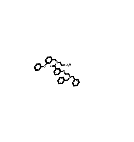 O=C(O)CCN(Cc1cccc(Oc2ccccc2)c1)C(=O)c1cccc(OCCN(Cc2ccccc2)Cc2ccccc2)c1